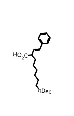 CCCCCCCCCCCCCCCCC(C=Cc1ccccc1)C(=O)O